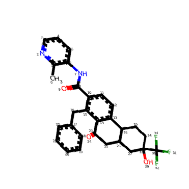 Cc1ncccc1NC(=O)c1ccc2c(c1Cc1ccccc1)C(=O)CC1CC(O)(C(F)(F)F)CCC21